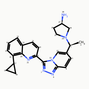 C[C@@H](c1ccc2nnc(-c3ccc4cccc(C5CC5)c4n3)n2c1)N1CC[C@@H](N)C1